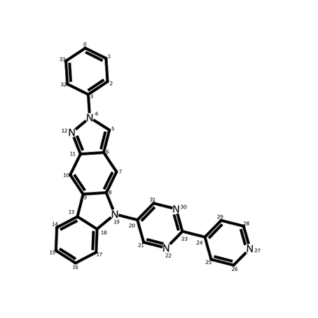 c1ccc(-n2cc3cc4c(cc3n2)c2ccccc2n4-c2cnc(-c3ccncc3)nc2)cc1